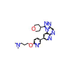 CN(C)CCCOc1ccc(-c2cnc3ncc4nnc(C5CCOCC5)n4c3c2)cn1